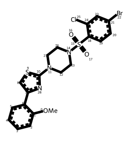 COc1ccccc1-c1csc(N2CCN(S(=O)(=O)c3ccc(Br)cc3Cl)CC2)n1